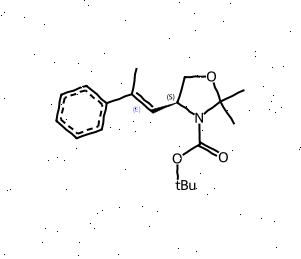 C/C(=C\[C@H]1COC(C)(C)N1C(=O)OC(C)(C)C)c1ccccc1